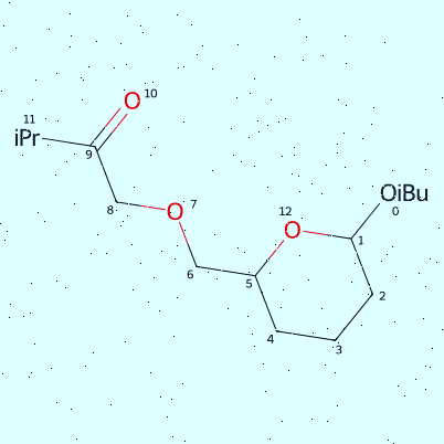 CC(C)COC1CCCC(COCC(=O)C(C)C)O1